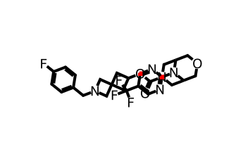 O=C(OC1CC2(C1)CN(Cc1ccc(F)cc1)C2)N1CC2COCC(C1)N2c1ncc(C(F)(F)F)cn1